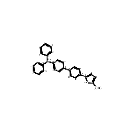 O=Cc1ccc(-c2ccc(-c3ccc(N(c4ccccc4)c4ccccc4)cc3)cc2)s1